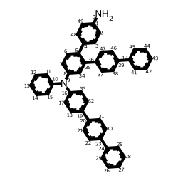 Nc1ccc(-c2ccc(N(c3ccccc3)c3ccc(-c4ccc(-c5ccccc5)cc4)cc3)cc2-c2ccc(-c3ccccc3)cc2)cc1